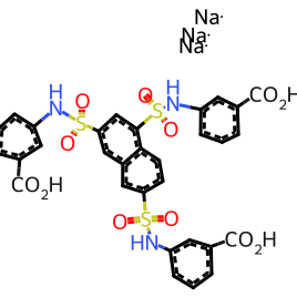 O=C(O)c1cccc(NS(=O)(=O)c2ccc3c(S(=O)(=O)Nc4cccc(C(=O)O)c4)cc(S(=O)(=O)Nc4cccc(C(=O)O)c4)cc3c2)c1.[Na].[Na].[Na]